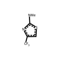 CNc1nc(C(F)(F)F)cs1